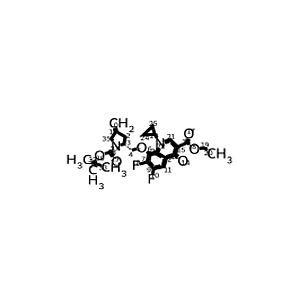 C=C1C[C@H](COc2c(F)c(F)cc3c(=O)c(C(=O)OCC)cn(C4CC4)c23)N(C(=O)OC(C)(C)C)C1